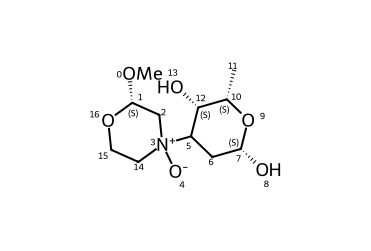 CO[C@@H]1C[N+]([O-])(C2C[C@@H](O)O[C@@H](C)[C@H]2O)CCO1